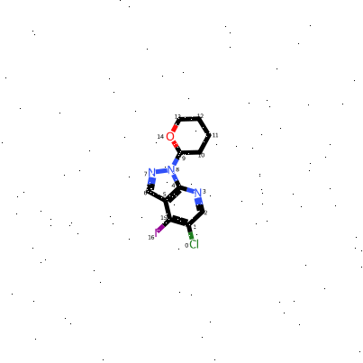 Clc1cnc2c(cnn2C2CCCCO2)c1I